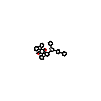 c1ccc(-c2ccc(-c3cc(-c4ccccc4)nc(-c4ccc5c(c4)C4(c6ccccc6-5)c5ccccc5C5(c6ccccc6-c6ccccc65)c5ccccc54)c3)cc2)cc1